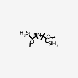 CCOC(C[SiH3])C(C)(C)NC(C)(C)C(C[SiH3])OCC